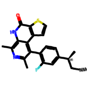 CNC[C@H](C)c1ccc(-c2c(C)nc(C)c3[nH]c(=O)c4sccc4c23)c(F)c1